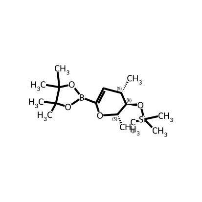 C[C@@H]1OC(B2OC(C)(C)C(C)(C)O2)=C[C@H](C)[C@H]1O[Si](C)(C)C